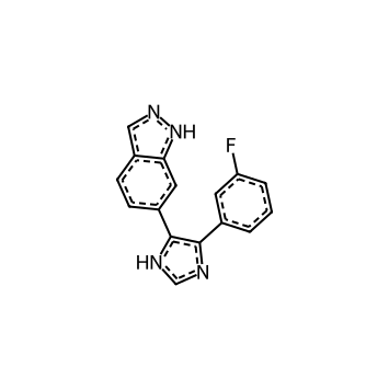 Fc1cccc(-c2nc[nH]c2-c2ccc3cn[nH]c3c2)c1